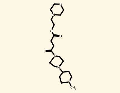 CN1CCC(N2CCN(C(=O)CCC(=O)OCCN3CCOCC3)CC2)CC1